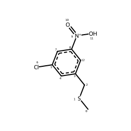 CSCc1cc(Cl)cc([N+](=O)O)c1